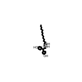 CCCCCCCCCCCCCC[PH](O)(O)OC(C)C(c1ccc(O)cc1)c1ccc(O)cc1